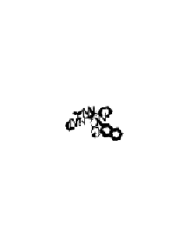 COc1cc2ccccc2cc1C(=O)N1CCCC[C@H]1c1cc2nc(N3CCCC3)c(C)cn2n1